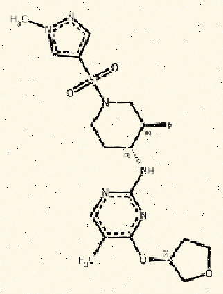 Cn1cc(S(=O)(=O)N2CC[C@@H](Nc3ncc(C(F)(F)F)c(O[C@H]4CCOC4)n3)[C@H](F)C2)cn1